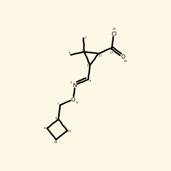 CC1(C)C(/C=N/OCC2CCC2)C1C(=O)Cl